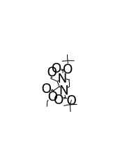 CCOC(=O)C1C(C=O)N(C(=O)OC(C)(C)C)CCN1C(=O)OC(C)(C)C